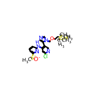 C[S+]([O-])c1cccc(Nc2cc(Cl)ncc2-c2cncn2COCC[SH](C)(C)(C)C)n1